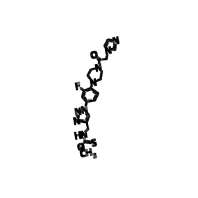 COC(=S)NCc1cn(-c2ccc(N3CCN(C(=O)Cn4ccnc4)CC3)c(F)c2)nn1